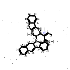 C/C=C(\C=N)C1Nc2c(oc3ccccc23)NC1N1c2ccccc2C2=Cc3ccccc3CC21